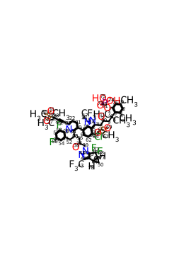 Cc1cc(C)c(C(C)(C)CC(=O)C(c2nn(CC(F)(F)F)c3c(-c4ccc(C#CC(C)(C)S(C)(=O)=O)nc4[C@@H](CC(=O)Cn4nc(C(F)(F)F)c5c4C(F)(F)[C@@H]4C[C@H]54)Cc4cc(F)cc(F)c4)ccc(Cl)c23)S(C)(=O)=O)c(OP(=O)(O)O)c1